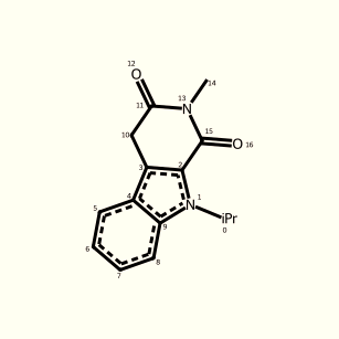 CC(C)n1c2c(c3ccccc31)CC(=O)N(C)C2=O